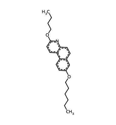 CCCCCCOc1ccc2c(ccc3nc(OCCCC)ccc32)c1